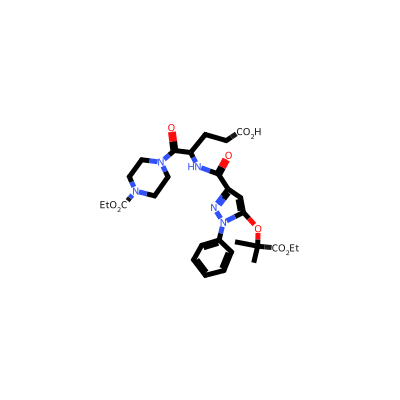 CCOC(=O)N1CCN(C(=O)C(CCC(=O)O)NC(=O)c2cc(OC(C)(C)C(=O)OCC)n(-c3ccccc3)n2)CC1